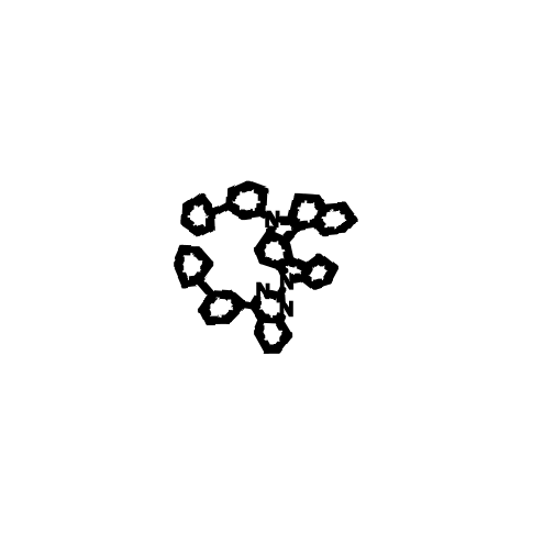 c1ccc(-c2cccc(-c3nc(-n4c5ccccc5c5c6c7c8ccccc8ccc7n(-c7cccc(-c8ccccc8)c7)c6ccc54)nc4ccccc34)c2)cc1